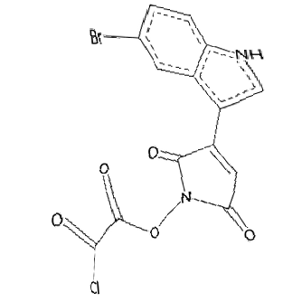 O=C(Cl)C(=O)ON1C(=O)C=C(c2c[nH]c3ccc(Br)cc23)C1=O